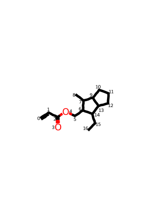 C=CC(=O)OCC1C(C)C2CCCC2C1CC